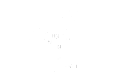 CCCCc1ccc(C(=O)Nc2nc(-c3cccc(O)c3)cn2-c2ccccc2)cc1